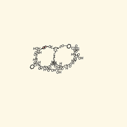 CC(=O)N[C@H]1Cc2ccc(cc2)OCc2cc3cc(c2)CSC[C@H](NC(=O)[C@H](CCC(=O)O)NC(=O)CNC(=O)[C@H](C)NC(=O)[C@H](CC(=O)O)NC1=O)C(=O)N[C@@H](CC(=O)O)C(=O)N[C@@H](C)C(=O)N[C@@H](Cc1ccccc1)C(=O)NCC(=O)N[C@H](C(=O)O)c1ccc(cc1)OC3